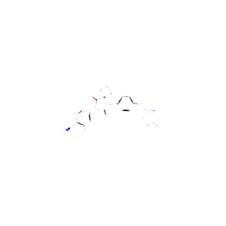 N#Cc1ncc(N2C(=O)C3(CCC3)N(c3ccc(CN4CCNCC4)cc3)C2=S)cc1Cl